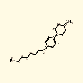 CC1CCC(c2ccc(OCCCCCCBr)cc2)CC1